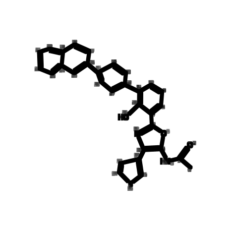 CC(=O)Nc1oc(-c2cccc(-c3ccc(-c4ccc5ccccc5c4)cc3)c2O)nc1-c1ccsc1